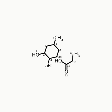 CC1CCC(C(C)C)C(O)C1.CCC(=O)O